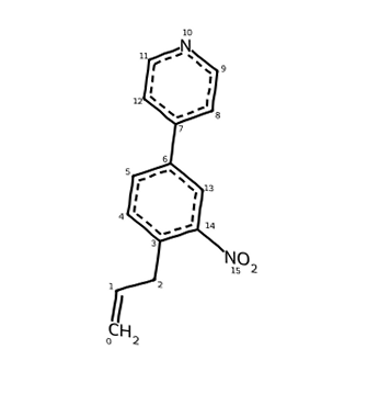 C=CCc1ccc(-c2ccncc2)cc1[N+](=O)[O-]